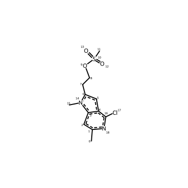 Cc1cc2c(cc(CCOS(C)(=O)=O)n2C)c(Cl)n1